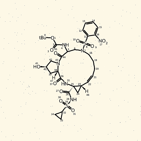 CC(C)(C)OC(=O)NC1CN(S(=O)(=O)c2ccccc2[N+](=O)[O-])CCC/C=C\[C@@H]2C[C@@]2(C(=O)NS(=O)(=O)C2CC2)NC(=O)[C@@H]2C[C@@H](O)CN2C1=O